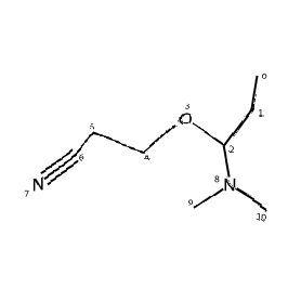 CCC(OCCC#N)N(C)C